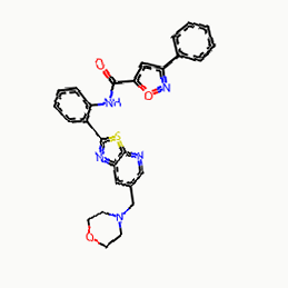 O=C(Nc1ccccc1-c1nc2cc(CN3CCOCC3)cnc2s1)c1cc(-c2ccccc2)no1